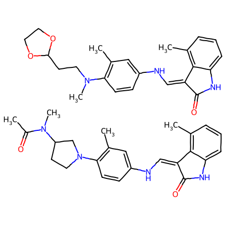 CC(=O)N(C)C1CCN(c2ccc(N/C=C3\C(=O)Nc4cccc(C)c43)cc2C)C1.Cc1cc(N/C=C2/C(=O)Nc3cccc(C)c32)ccc1N(C)CCC1OCCO1